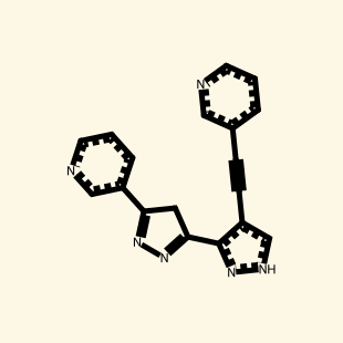 C(#Cc1c[nH]nc1C1=NN=C(c2cccnc2)C1)c1cccnc1